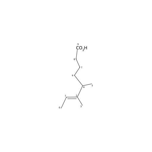 C/C=C(\C)C(C)CCCC(=O)O